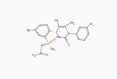 [C-]#[N+]C1=C(C)N(c2cccc(C(F)(F)F)c2)C(=O)N[C@@H]1c1ccc(C#N)cc1[S@@](C)(=O)=NC(=O)C(F)(F)F